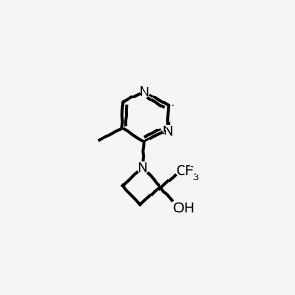 Cc1cn[c]nc1N1CCC1(O)C(F)(F)F